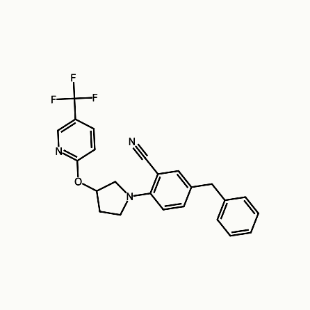 N#Cc1cc(Cc2ccccc2)ccc1N1CCC(Oc2ccc(C(F)(F)F)cn2)C1